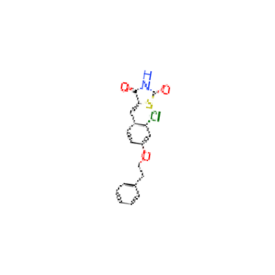 O=C1NC(=O)C(=Cc2ccc(OCCc3ccccc3)cc2Cl)S1